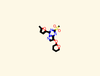 Cc1ccc(-c2nc(S(C)(=O)=O)nc3c(OC4CCCCO4)cnn23)o1